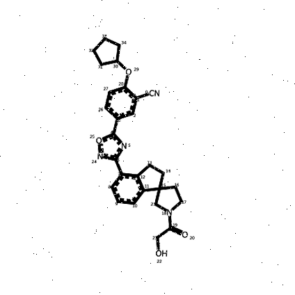 N#Cc1cc(-c2nc(-c3cccc4c3CCC43CCN(C(=O)CO)C3)no2)ccc1OC1CCCC1